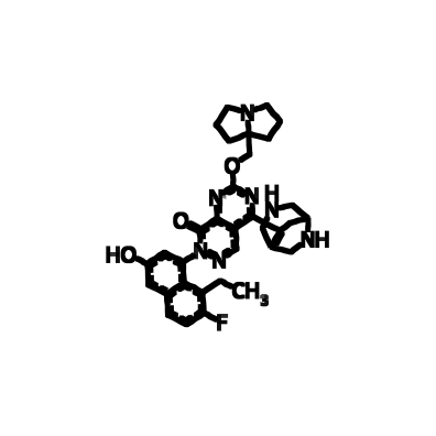 CCc1c(F)ccc2cc(O)cc(-n3ncc4c(C5=C6CNCC(C5)NC6)nc(OCC56CCCN5CCC6)nc4c3=O)c12